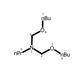 [CH2]CCN(COCCCC)COCCCC